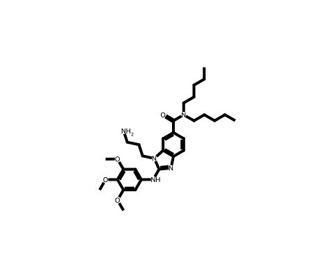 CCCCCN(CCCCC)C(=O)c1ccc2nc(Nc3cc(OC)c(OC)c(OC)c3)n(CCCN)c2c1